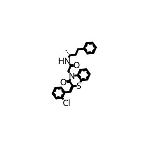 C[C@H](CCc1ccccc1)NC(=O)CN1C(=O)/C(=C\c2ccccc2Cl)Sc2ccccc21